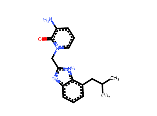 CC(C)Cc1cccc2nc(Cn3cccc(N)c3=O)[nH]c12